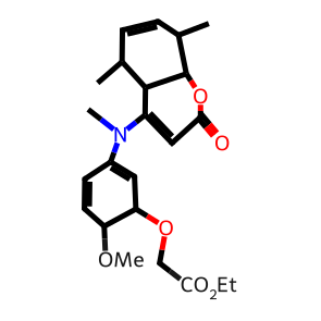 CCOC(=O)COC1C=C(N(C)C2=CC(=O)OC3C(C)C=CC(C)C23)C=CC1OC